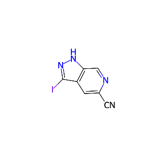 N#Cc1cc2c(I)n[nH]c2cn1